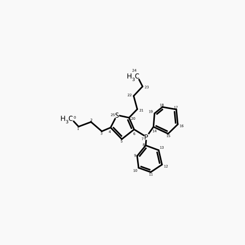 CCCCc1cc(P(c2ccccc2)c2ccccc2)c(CCCC)s1